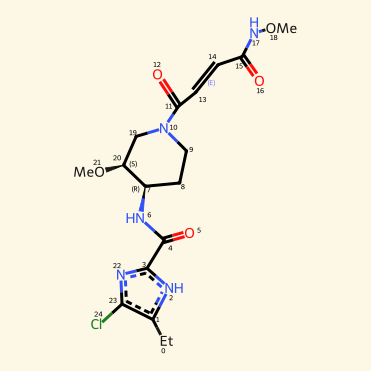 CCc1[nH]c(C(=O)N[C@@H]2CCN(C(=O)/C=C/C(=O)NOC)C[C@@H]2OC)nc1Cl